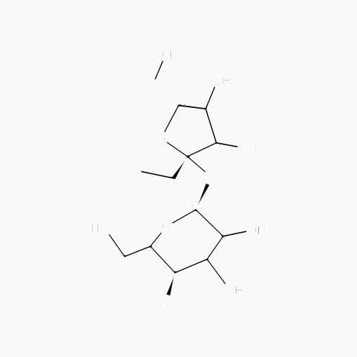 OCC1O[C@@H](O[C@]2(CCl)O[C@H](CCl)C(O)C2O)C(O)C(O)[C@H]1Cl